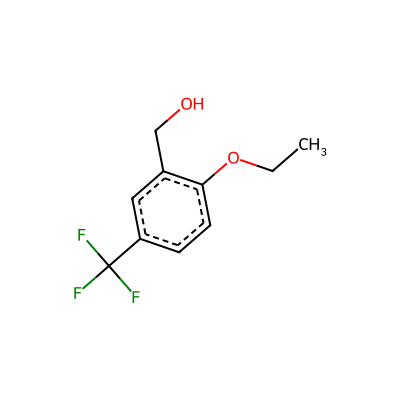 CCOc1ccc(C(F)(F)F)cc1CO